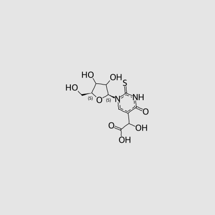 O=C(O)C(O)c1cn([C@H]2O[C@@H](CO)C(O)C2O)c(=S)[nH]c1=O